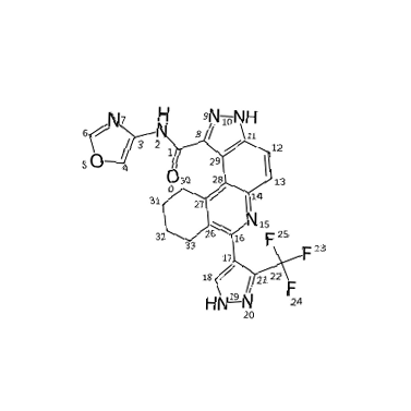 O=C(Nc1cocn1)c1n[nH]c2ccc3nc(-c4c[nH]nc4C(F)(F)F)c4c(c3c12)CCCC4